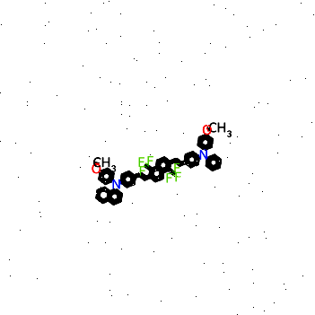 COc1ccc(N(c2ccccc2)c2ccc(C=Cc3ccc4c(C(F)(F)F)c(C=Cc5ccc(N(c6ccc(OC)cc6)c6cccc7c6CCCC7)cc5)ccc4c3C(F)(F)F)cc2)cc1